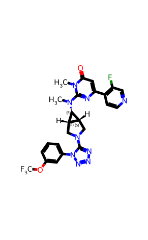 CN(c1nc(-c2ccncc2F)cc(=O)n1C)[C@@H]1[C@@H]2CN(c3nnnn3-c3cccc(OC(F)(F)F)c3)C[C@@H]21